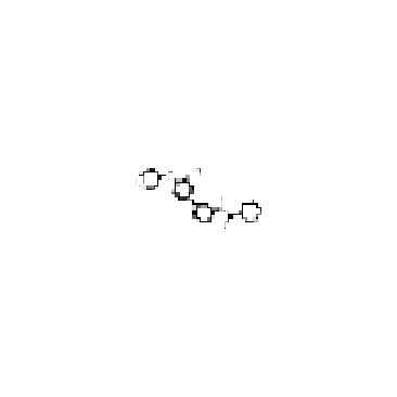 N#Cc1cc(-c2cccc(NC(=O)C3CCCCC3)c2)ccc1OC1CCOCC1